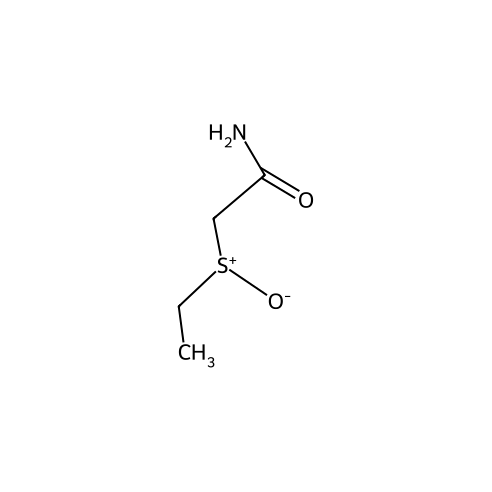 CC[S+]([O-])CC(N)=O